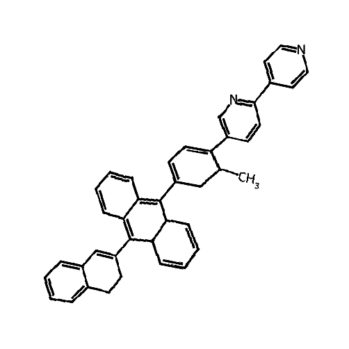 CC1CC(C2=c3ccccc3=C(C3=Cc4ccccc4CC3)C3C=CC=CC23)=CC=C1c1ccc(-c2ccncc2)nc1